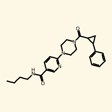 CCCCNC(=O)c1ccc(N2CCN(C(=O)C3CC3c3ccccc3)CC2)nc1